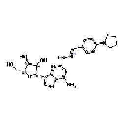 Nc1nc(N/N=C/c2ccc(N3CCCC3)cc2)nc2c1ncn2[C@@H]1O[C@H](CO)[C@@H](O)[C@H]1O